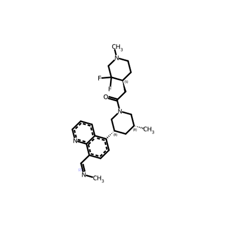 C/N=C\c1ccc([C@H]2C[C@@H](C)CN(C(=O)C[C@@H]3CCN(C)CC3(F)F)C2)c2cccnc12